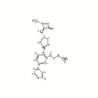 CC1=CN[C@H]1O[C@@H]1CCN(c2ccc(-c3ccccc3)cc2OCCO)C1